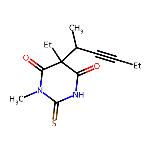 CCC#CC(C)C1(CC)C(=O)NC(=S)N(C)C1=O